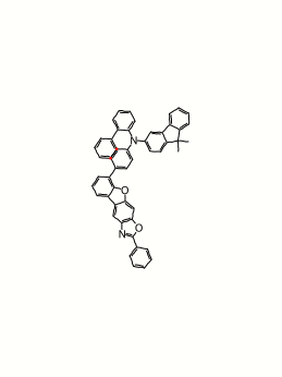 CC1(C)c2ccccc2-c2cc(N(c3ccc(-c4cccc5c4oc4cc6oc(-c7ccccc7)nc6cc45)cc3)c3ccccc3-c3ccccc3)ccc21